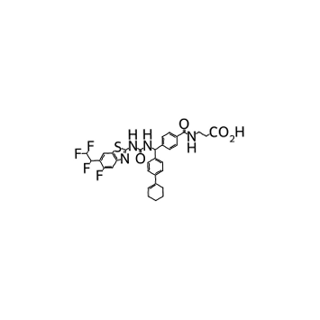 O=C(O)CCNC(=O)c1ccc(C(NC(=O)Nc2nc3cc(F)c(C(F)C(F)F)cc3s2)c2ccc(C3=CCCCC3)cc2)cc1